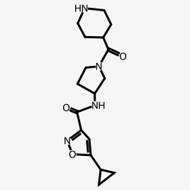 O=C(NC1CCN(C(=O)C2CCNCC2)C1)c1cc(C2CC2)on1